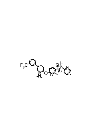 Cc1nc(O[C@H]2CC[C@H](c3cccc(C(F)(F)F)c3)C[C@@H]2N(C)C)ccc1S(=O)(=O)Nc1ccncn1